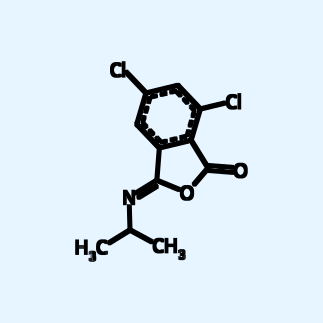 CC(C)/N=C1\OC(=O)c2c(Cl)cc(Cl)cc21